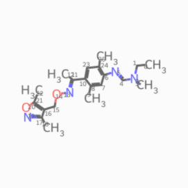 CCN(C)C=Nc1cc(C)c(C(C)=NOCc2c(C)noc2C)cc1C